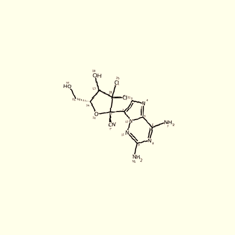 N#C[C@@]1(c2cnc3c(N)nc(N)nn23)O[C@H](CO)C(O)C1(Cl)Cl